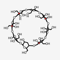 OCC1OC2OC3C(CO)OC(OC4C(CO)OC(OC5C(CO)OC(OC6CC(O)C(OC6CO)OC6C(CO)OC(OC7C(CO)OC(OC8C(CO)OC(OC1CC2O)C(O)C8O)C(O)C7O)C(O)C6O)C(O)C5O)C(O)C4O)C(O)C3O